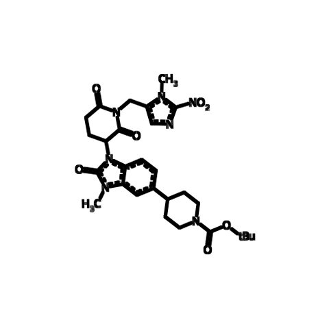 Cn1c(CN2C(=O)CCC(n3c(=O)n(C)c4cc(C5CCN(C(=O)OC(C)(C)C)CC5)ccc43)C2=O)cnc1[N+](=O)[O-]